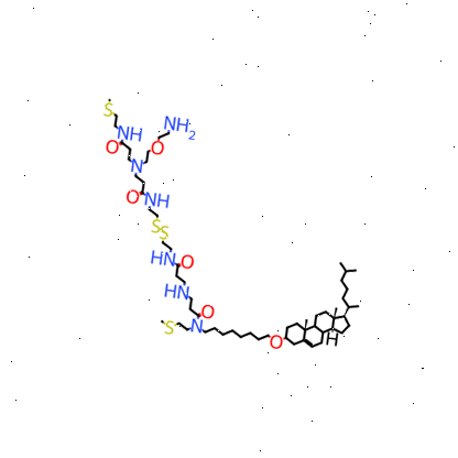 CSCCNC(=O)CCN(CCOCCN)CCC(=O)NCCSSCCNC(=O)CCNCCC(=O)N(CCCCCCCCO[C@H]1CC[C@@]2(C)C(=CCC3C2CC[C@]2(C)[C@@H](C(C)CCCC(C)C)CC[C@@H]32)C1)CCSC